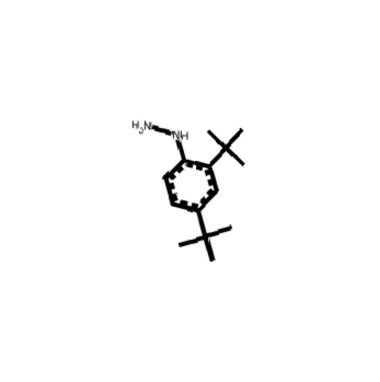 CC(C)(C)c1ccc(NN)c(C(C)(C)C)c1